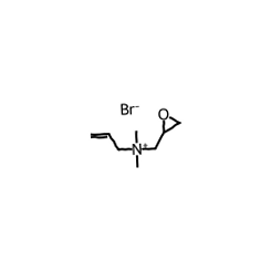 C=CC[N+](C)(C)CC1CO1.[Br-]